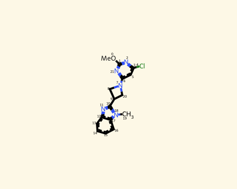 COc1nc(Cl)cc(N2CC(c3nc4ccccc4n3C)C2)n1